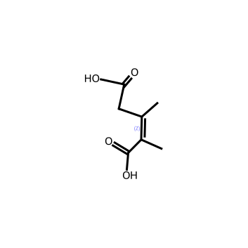 C/C(CC(=O)O)=C(\C)C(=O)O